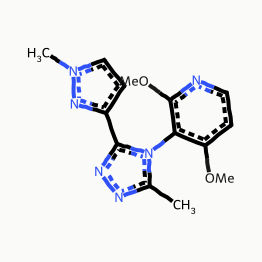 COc1ccnc(OC)c1-n1c(C)nnc1-c1ccn(C)n1